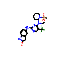 CCN(c1nc(Nc2ccc3c(c2)CC(=O)N3)ncc1C(F)(F)F)[C@H]1CCCCN1S(C)(=O)=O